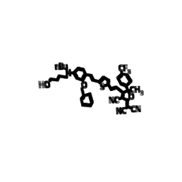 CCCCN(CCCCO)c1ccc(/C=C/c2ccc(/C=C/C3=C(C#N)C(=C(C#N)C#N)OC3(C)c3ccc(C(F)(F)F)cc3)s2)c(OCc2ccccc2)c1